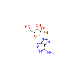 Nc1ncnc2c1ncn2[C@@H]1O[C@H](CO)[C@@H](O)[C@]1(O)S